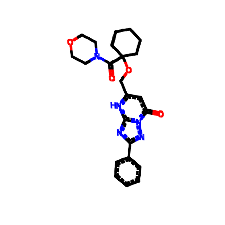 O=C(N1CCOCC1)C1(OCc2cc(=O)n3nc(-c4ccccc4)nc3[nH]2)CCCCC1